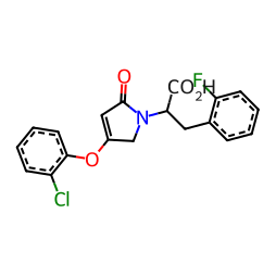 O=C(O)C(Cc1ccccc1F)N1CC(Oc2ccccc2Cl)=CC1=O